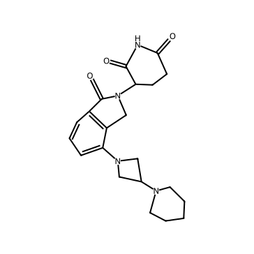 O=C1CCC(N2Cc3c(cccc3N3CC(N4CCCCC4)C3)C2=O)C(=O)N1